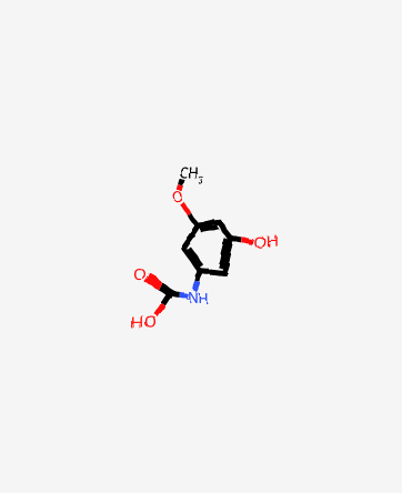 COc1cc(O)cc(NC(=O)O)c1